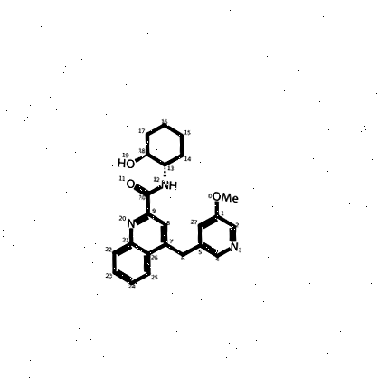 COc1cncc(Cc2cc(C(=O)N[C@H]3CCCC[C@@H]3O)nc3ccccc23)c1